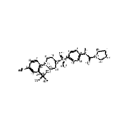 O=C(Nc1ccc(S(=O)(=O)N2CCN(c3ccc(F)cc3C(F)(F)F)CC2)cc1)N1CCCC1